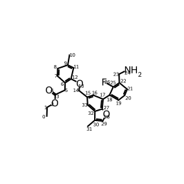 CCOC(=O)Cc1ccc(C)cc1OCc1cc(-c2cccc(CN)c2F)c2occ(C)c2c1